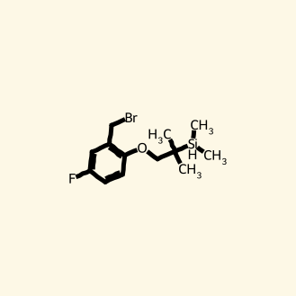 C[SiH](C)C(C)(C)COc1ccc(F)cc1CBr